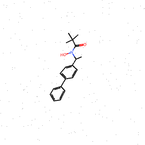 CC(c1ccc(-c2ccccc2)cc1)N(O)C(=O)C(C)(C)C